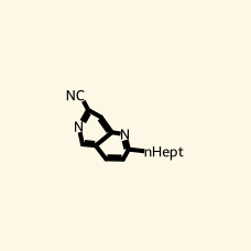 CCCCCCCc1ccc2cnc(C#N)cc2n1